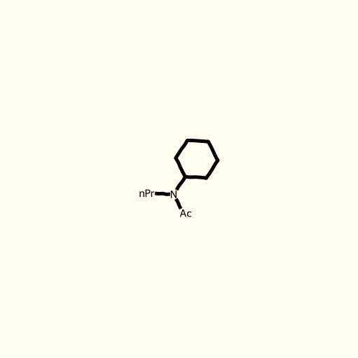 CCCN(C(C)=O)C1CCCCC1